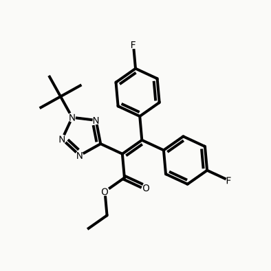 CCOC(=O)C(=C(c1ccc(F)cc1)c1ccc(F)cc1)c1nnn(C(C)(C)C)n1